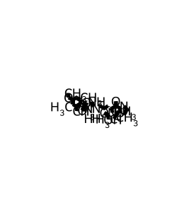 COc1cc(C)c(S(=O)(=O)NC(=N)NCCC[C@H](C(=O)c2nccs2)N(C(=O)O)C(C)(C)C)c(C)c1C